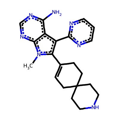 Cn1c(C2=CCC3(CCNCC3)CC2)c(-c2ncccn2)c2c(N)ncnc21